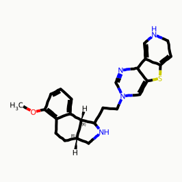 COc1cccc2c1CC[C@H]1CNC(CCN3C=NC4C(=C3)SC3=CCNC=C34)[C@@H]21